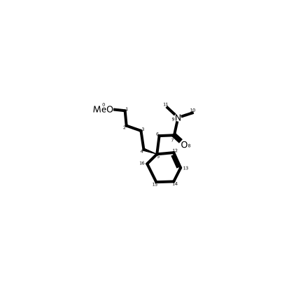 COCCCC[C@@]1(CC(=O)N(C)C)C=CCCC1